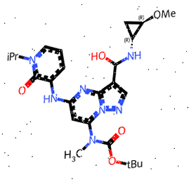 CO[C@@H]1C[C@H]1NC(O)c1cnn2c(N(C)C(=O)OC(C)(C)C)cc(Nc3cccn(C(C)C)c3=O)nc12